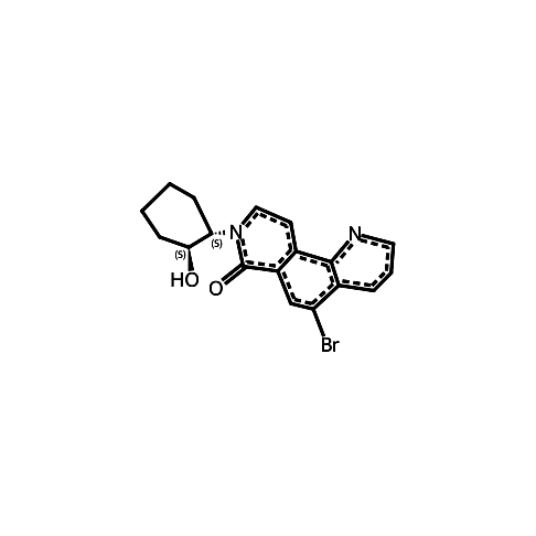 O=c1c2cc(Br)c3cccnc3c2ccn1[C@H]1CCCC[C@@H]1O